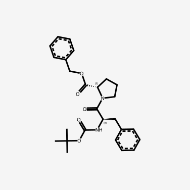 CC(C)(C)OC(=O)N[C@H](Cc1ccccc1)C(=O)N1CCC[C@H]1C(=O)OCc1ccccc1